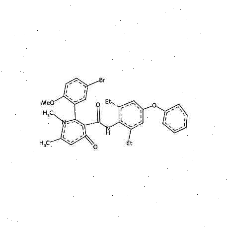 CCc1cc(Oc2ccccc2)cc(CC)c1NC(=O)c1c(-c2cc(Br)ccc2OC)n(C)c(C)cc1=O